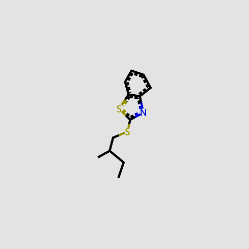 CCC(C)CSc1nc2ccccc2s1